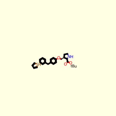 CC(C)(C)OC(=O)C1NCC[C@@H]1COc1ccc(Cc2cccc([SH]3C=CC=C3)c2)cc1